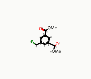 COC(=O)c1cc(CF)cc(C(=O)OC)c1